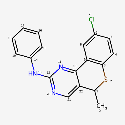 CC1Sc2ccc(Cl)cc2-c2nc(Nc3ccccc3)ncc21